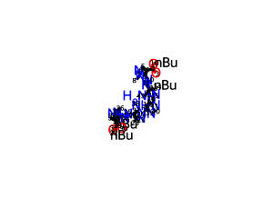 CCCCOC(=O)c1cnn(C)c1/N=N/c1c(CCCC)nn(-c2cc(-n3nc(CCCC)c(/N=N/c4c(C(=O)OCCCC)cnn4C)c3N)ncn2)c1N